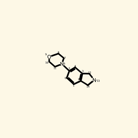 c1cc2c(cc1N1CCOCC1)C[N]C2